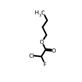 CCCCOC(=O)C(F)Cl